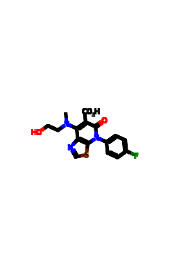 CN(CCO)c1c(C(=O)O)c(=O)n(-c2ccc(F)cc2)c2scnc12